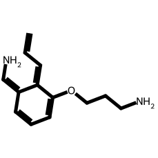 C=C/C=c1/c(OCCCN)ccc/c1=C/N